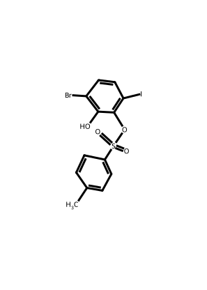 Cc1ccc(S(=O)(=O)Oc2c(I)ccc(Br)c2O)cc1